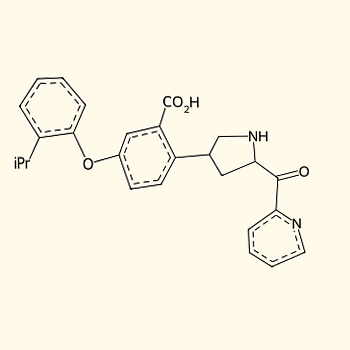 CC(C)c1ccccc1Oc1ccc(C2CNC(C(=O)c3ccccn3)C2)c(C(=O)O)c1